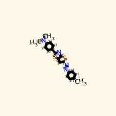 Cc1ccc(N=Nc2cc3sc(-c4ccc(N(C)C)cc4)nc3s2)cc1